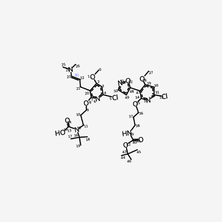 COc1cc(Cl)nc(OCCCN(C(=O)O)C(C)(C)C)c1C/C=C/N(C)C.COc1cc(Cl)nc(OCCCNC(=O)OC(C)(C)C)c1-c1ccno1